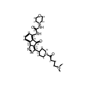 CN(C)CCCC(=O)N1CCC(C2=C3C(=O)c4c(NC(=O)NN5CCOCC5)cccc4C3N=N2)CC1